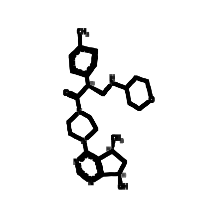 Cc1ccc([C@@H](CNC2CCOCC2)C(=O)N2CCN(c3ncnc4c3[C@H](C)C[C@H]4O)CC2)cc1